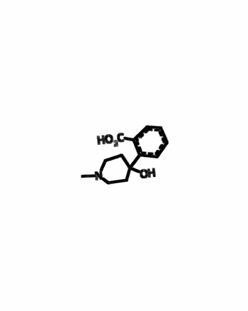 CN1CCC(O)(c2ccccc2C(=O)O)CC1